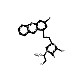 CC(C)C[C@@H](C(=O)O)n1cc(CCc2cc(F)cc3nc4ccccc4cc23)nc(C(C)C)c1=O